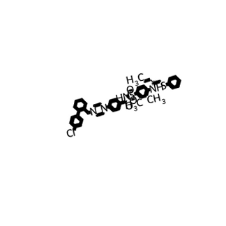 CCC[C@H](CSc1ccccc1)Nc1ccc(S(=O)(=O)NC(=O)c2ccc(N3CCN(CC4=C(c5ccc(Cl)cc5)CCCC4)CC3)cc2)c(C)c1C